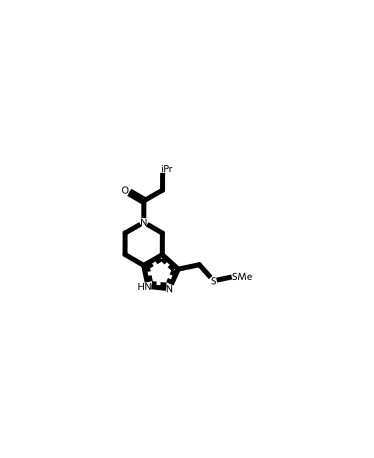 CSSCc1n[nH]c2c1CN(C(=O)CC(C)C)CC2